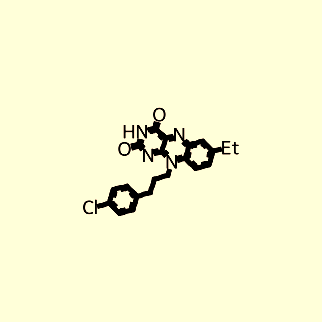 CCc1ccc2c(c1)nc1c(=O)[nH]c(=O)nc-1n2CCCc1ccc(Cl)cc1